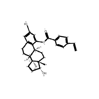 C=Cc1ccc(C(=O)Oc2cc(O)cc3c2[C@H]2CC[C@]4(C)[C@H](O)CC[C@H]4[C@@H]2CC3)cc1